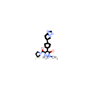 CN(C)C(=O)C(c1ccc(-c2ccc3ncnn3c2)cc1)C(N)C(=O)N1CC[C@H](F)C1